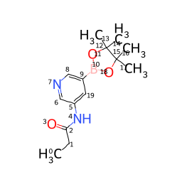 CCC(=O)Nc1cncc(B2OC(C)(C)C(C)(C)O2)c1